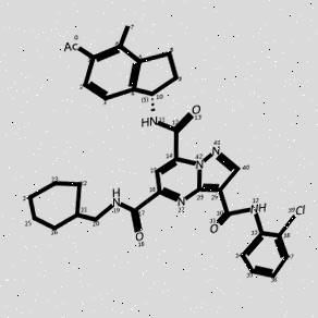 CC(=O)c1ccc2c(c1C)CC[C@@H]2NC(=O)c1cc(C(=O)NCC2CCCCC2)nc2c(C(=O)Nc3ccccc3Cl)cnn12